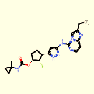 CC1(NC(=O)O[C@@H]2CC[C@H](c3cc(Nc4nccc5nc(CC(F)(F)F)cn45)n[nH]3)[C@@H]2F)CC1